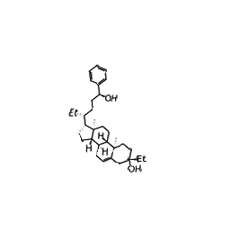 CC[C@H](CC[C@H](O)c1ccccc1)[C@H]1CC[C@H]2[C@@H]3CC=C4C[C@](O)(CC)CC[C@]4(C)[C@H]3CC[C@]12C